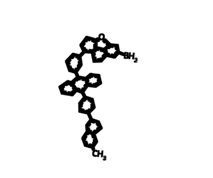 Bc1cc2ccc3c(-c4cccc(-c5c6ccccc6c(-c6ccc(-c7ccc8cc(C)ccc8c7)cc6)c6ccccc56)c4)ccc4oc(c1)c2c43